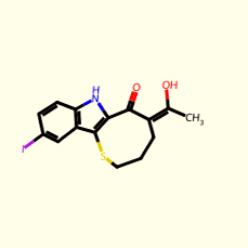 C/C(O)=C1\CCCSc2c([nH]c3ccc(I)cc23)C1=O